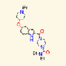 CCN(CC)C(=O)N1CCN(C(=O)c2cc3cc(OC4CCN(C(C)C)CC4)ccc3[nH]2)CC1